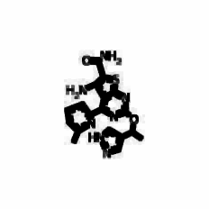 Cc1cccc(-c2nc(OC(C)c3cn[nH]c3)nc3sc(C(N)=O)c(N)c23)n1